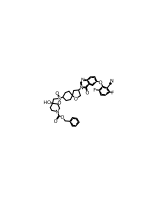 N#Cc1c(F)ccc(F)c1Oc1ccc2ncn(C3COC4(CCC(S(=O)(=O)CC5(O)CCN(C(=O)OCc6ccccc6)CC5)CC4)C3)c(=O)c2c1